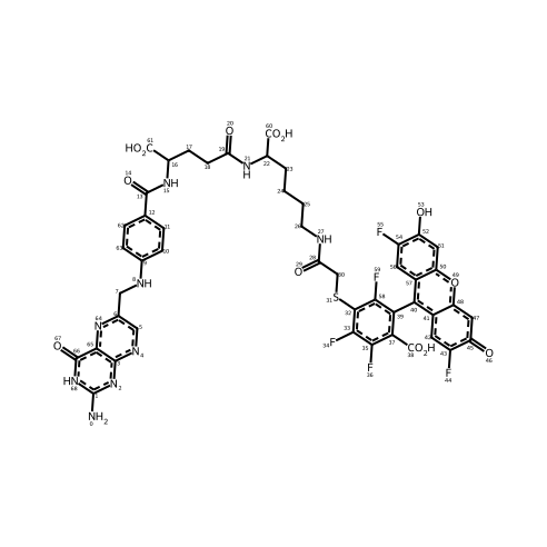 Nc1nc2ncc(CNc3ccc(C(=O)NC(CCC(=O)NC(CCCCNC(=O)CSc4c(F)c(F)c(C(=O)O)c(-c5c6cc(F)c(=O)cc-6oc6cc(O)c(F)cc56)c4F)C(=O)O)C(=O)O)cc3)nc2c(=O)[nH]1